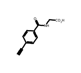 [C]#Cc1ccc(C(=O)NCC(=O)O)cc1